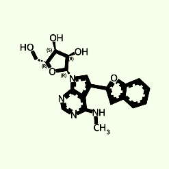 CNc1ncnc2c1c(-c1cc3ccccc3o1)cn2[C@@H]1O[C@H](CO)[C@@H](O)[C@H]1O